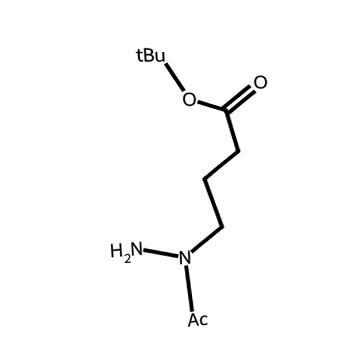 CC(=O)N(N)CCCC(=O)OC(C)(C)C